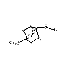 O=CC12CCC(NI)(CC1)CC2